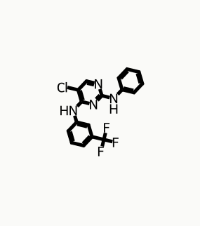 FC(F)(F)c1cccc(Nc2nc(Nc3ccccc3)ncc2Cl)c1